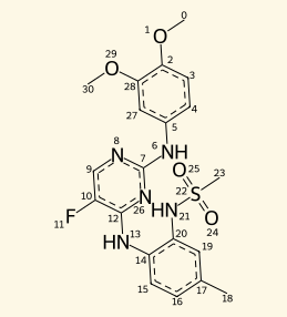 COc1ccc(Nc2ncc(F)c(Nc3ccc(C)cc3NS(C)(=O)=O)n2)cc1OC